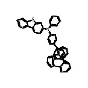 c1ccc(N(c2ccc(-c3ccc4c(c3)-c3c5cccc3-c3cccc-4c3-c3ccccc3-5)cc2)c2ccc3c(c2)sc2ccccc23)cc1